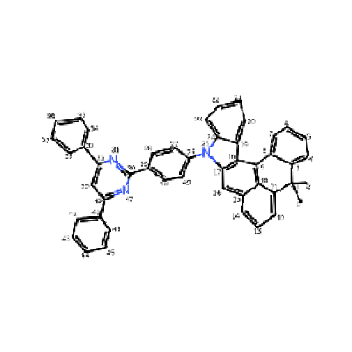 CC1(C)c2ccccc2-c2c3c1cccc3cc1c2c2ccccc2n1-c1ccc(-c2nc(-c3ccccc3)cc(-c3ccccc3)n2)cc1